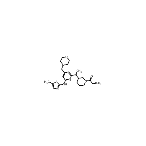 C=CC(=O)N1CCCC(N(C)c2cc(CN3CCOCC3)cc(Nc3ncc(C)s3)n2)C1